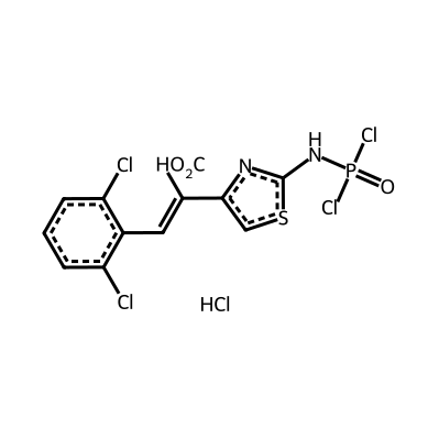 Cl.O=C(O)C(=Cc1c(Cl)cccc1Cl)c1csc(NP(=O)(Cl)Cl)n1